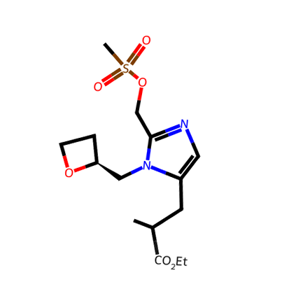 CCOC(=O)C(C)Cc1cnc(COS(C)(=O)=O)n1C[C@@H]1CCO1